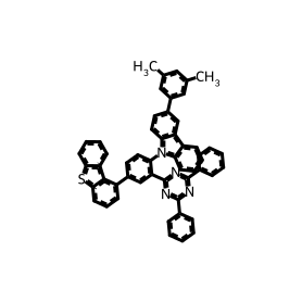 Cc1cc(C)cc(-c2ccc3c(c2)c2ccccc2n3-c2ccc(-c3cccc4sc5ccccc5c34)cc2-c2nc(-c3ccccc3)nc(-c3ccccc3)n2)c1